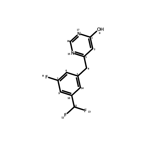 Oc1cc(Cc2cc(F)cc(C(F)F)c2)ncn1